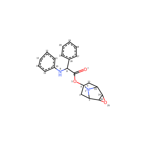 CN1C2CC(OC(=O)C(Nc3ccccc3)c3ccccc3)CC1C1OC12